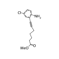 COC(=O)CCCCC#Cc1cc(Cl)ccc1N